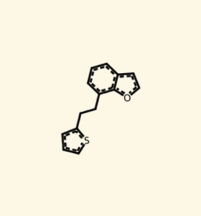 c1csc(CCc2cccc3ccoc23)c1